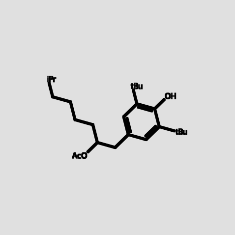 CC(=O)OC(CCCCC(C)C)Cc1cc(C(C)(C)C)c(O)c(C(C)(C)C)c1